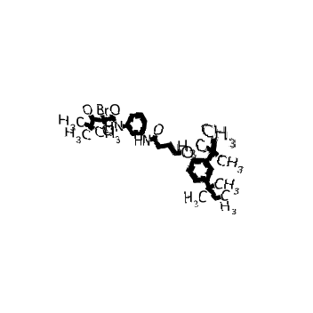 CCC(C)(C)c1ccc(OCCCC(=O)Nc2cccc(NC(=O)C(Cl)(Br)C(=O)C(C)(C)C)c2)c(C(C)(C)CC)c1